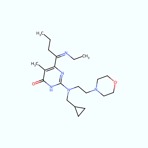 CCC/C(=N/CC)c1nc(N(CCN2CCOCC2)CC2CC2)[nH]c(=O)c1C